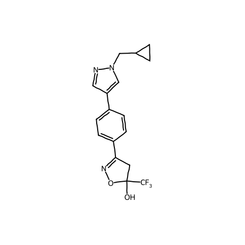 OC1(C(F)(F)F)CC(c2ccc(-c3cnn(CC4CC4)c3)cc2)=NO1